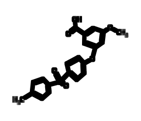 COc1cc(Oc2ccc(S(=O)(=O)c3ccc(C)cc3)cc2)cc(C(=O)O)c1